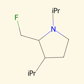 CC(C)C1CCN(C(C)C)C1CF